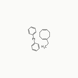 CC/C1=C/CC/C=C\CC1.c1cc[c]([Pt][c]2ccccc2)cc1